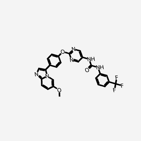 COc1ccc2ncc(-c3ccc(Oc4ncc(NC(=O)Nc5cccc(C(F)(F)F)c5)cn4)cc3)n2c1